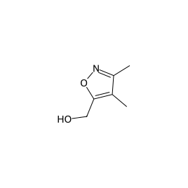 Cc1noc(CO)c1C